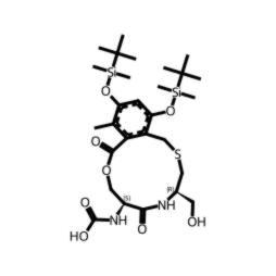 Cc1c(O[Si](C)(C)C(C)(C)C)cc(O[Si](C)(C)C(C)(C)C)c2c1C(=O)OC[C@H](NC(=O)O)C(=O)N[C@H](CO)CSC2